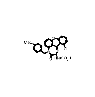 COc1ccc(CN2C(=O)C(NC(=O)O)N=C(c3c(Cl)cccc3Cl)c3ccccc32)cc1